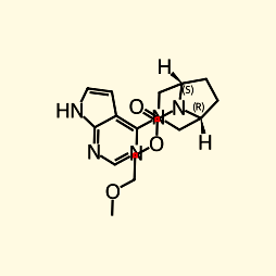 COCCOC(=O)N1[C@@H]2CC[C@H]1CN(c1ncnc3[nH]ccc13)C2